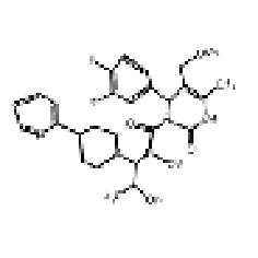 COCC1=C(C)NC(=O)N(C(=O)N(O)C(C(C)O)N2CCC(c3ccccn3)CC2)C1c1ccc(F)c(F)c1